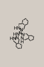 C1=c2ccccc2=CN(NN(N2C=c3ccccc3=CN2)N2C=c3ccccc3=CN2)N1